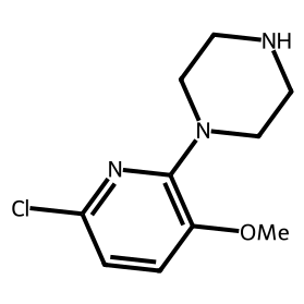 COc1ccc(Cl)nc1N1CCNCC1